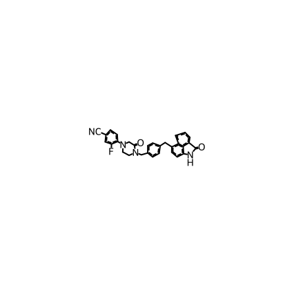 N#Cc1ccc(N2CCN(Cc3ccc(Cc4ccc5c6c(cccc46)C(=O)N5)cc3)C(=O)C2)c(F)c1